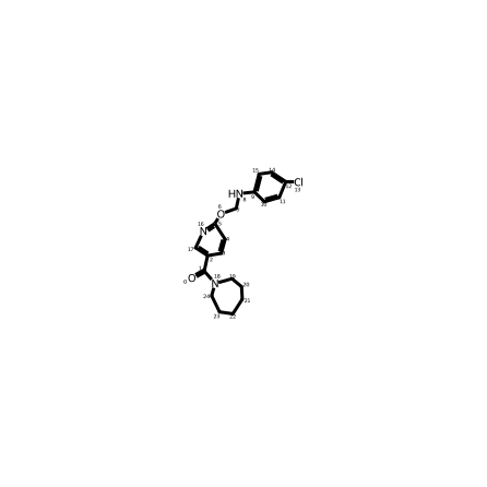 O=C(c1ccc(OCNc2ccc(Cl)cc2)nc1)N1CCCCCC1